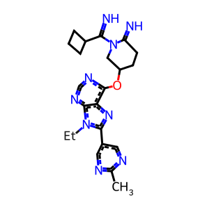 CCn1c(-c2cnc(C)nc2)nc2c(OC3CCC(=N)N(C(=N)C4CCC4)C3)ncnc21